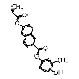 C=CC(=O)Oc1ccc2cc(C(=O)Oc3ccc(O)c(C)c3)ccc2c1